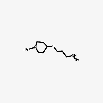 CCCN1CCC(OCCCNC(C)C)CC1